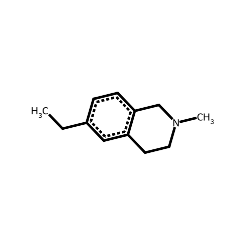 CCc1ccc2c(c1)CCN(C)C2